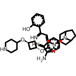 N=C1C(N)=NN(C2CC3CCC(C2)N3c2ccc(O[C@H]3C[C@H](OC4CCNCC4)C3)nc2)/C1=C/C(=N)c1ccccc1O